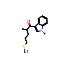 CCSCCCC(C)C(=O)c1cn(C)c2ccccc12